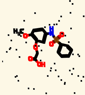 COc1ccc(NS(=O)(=O)c2ccccc2)cc1OCC(=O)O